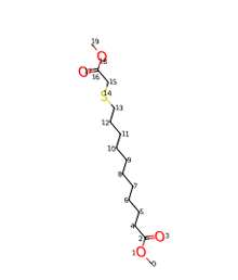 COC(=O)CCCCCCCCCCSCC(=O)OC